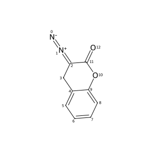 [N-]=[N+]=C1Cc2ccccc2OC1=O